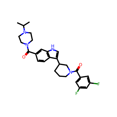 CC(C)N1CCN(C(=O)c2ccc3c(C4CCCN(C(=O)c5cc(F)cc(F)c5)C4)c[nH]c3c2)CC1